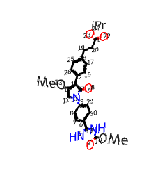 COC(=O)NC(=N)c1ccc(N2CC(OC)=C(c3ccc(CCC(=O)OC(C)C)cc3)C2=O)cc1